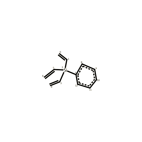 C=C[Si](C=C)(C=C)c1ccccc1